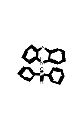 O=S(=O)(c1ccccc1)c1ccccc1.c1ccc2c(c1)Nc1ccccc1S2